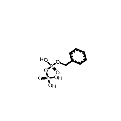 O=P(O)(O)OP(=O)(O)OCc1ccccc1